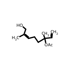 C=CC(C)(CCC=C(C)CO)OC(C)=O